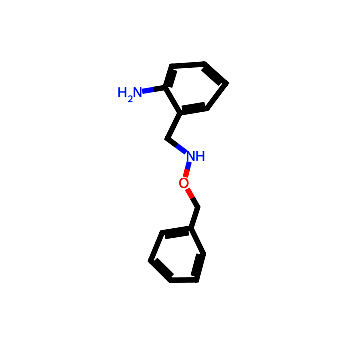 Nc1ccccc1CNOCc1ccccc1